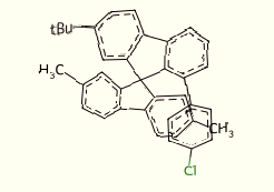 Cc1ccc2c(c1)C1(c3cc(C)ccc3-2)c2cc(C(C)(C)C)ccc2-c2cccc(-c3ccc(Cl)cc3)c21